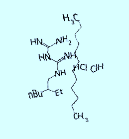 CCCCC(CC)CNC(=N)NC(=N)N.CCCCCCCCCCCC.Cl.Cl